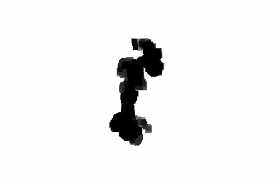 CO[C@@H](c1ccccc1-c1ccc(Cl)cc1)C1CCN(c2ccc(C(=O)NS(=O)(=O)c3ccc(N[C@@H](CSc4ccccc4)C[C@H]4CCCN4CCO)c(S(=O)(=O)C(F)(F)F)c3)cc2)CC1